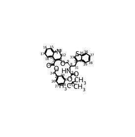 CC(C)(C)OC(=O)N[C@@H](COc1cnc2ccccc2c1C(=O)OCc1ccccc1)Cc1csc2ccccc12